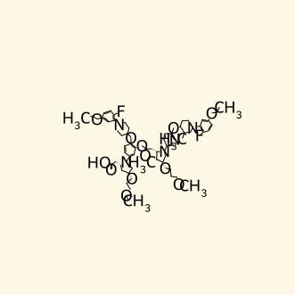 CCOc1ccc(F)c(N2CCC(Oc3ccc(N4C[C@H](OCCOC)C[C@@H]4CC(=O)O)cc3OC(=O)C[C@H]3[C@H](C)[C@@H](OCCCOC)CN3c3ccc(OC4CCN(c5cc(OCC)ccc5F)CC4C)nc3)CC2)c1